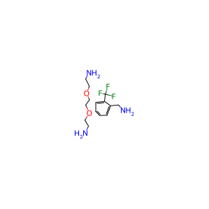 NCCOCCOCCN.NCc1ccccc1C(F)(F)F